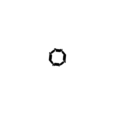 C1=NP=NC=NP=N1